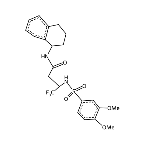 COc1ccc(S(=O)(=O)NC(CC(=O)NC2CCCc3ccccc32)C(F)(F)F)cc1OC